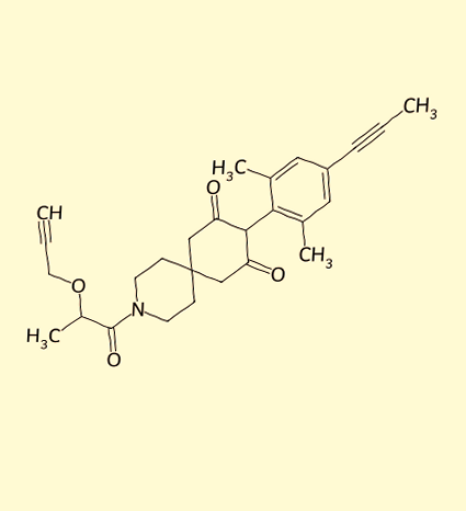 C#CCOC(C)C(=O)N1CCC2(CC1)CC(=O)C(c1c(C)cc(C#CC)cc1C)C(=O)C2